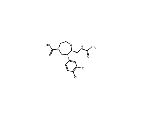 CC(=O)NC[C@@H]1OCCN(C(=O)O)C[C@H]1c1ccc(Cl)c(Cl)c1